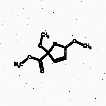 COC(=O)C1(OC)C=CC(OC)O1